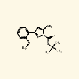 COc1ccccc1-c1cc(C)n(C(=O)OC(C)(C)C)n1